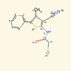 Cc1c(-c2ccccc2)sc(NC(=O)CCl)c1C#N